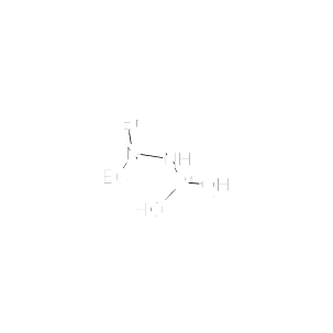 CCN(CC)NP(O)O